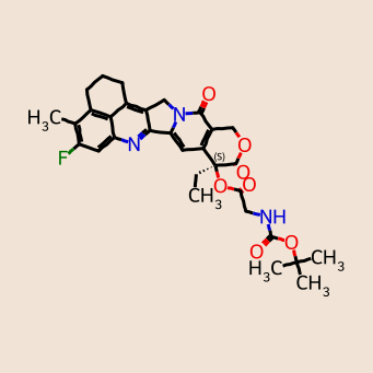 CC[C@@]1(OC(=O)CNC(=O)OC(C)(C)C)C(=O)OCc2c1cc1n(c2=O)Cc2c-1nc1cc(F)c(C)c3c1c2CCC3